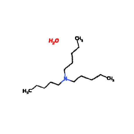 CCCCCN(CCCCC)CCCCC.O